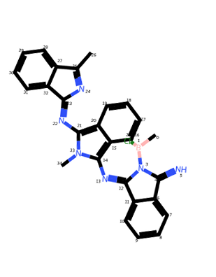 CB(Cl)N1C(=N)c2ccccc2/C1=N/c1c2ccccc2c(/N=C2\N=C(C)c3ccccc32)n1C